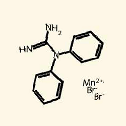 N=C(N)N(c1ccccc1)c1ccccc1.[Br-].[Br-].[Mn+2]